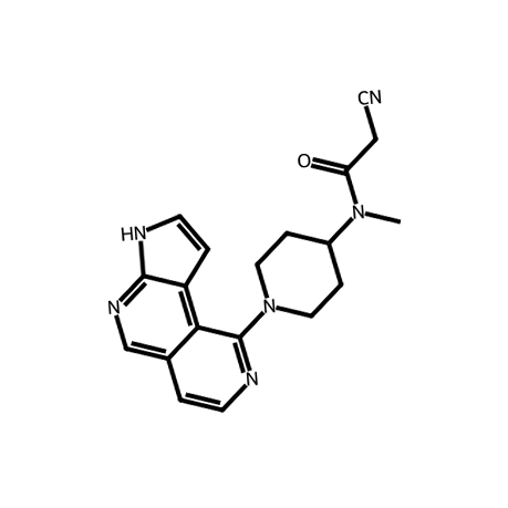 CN(C(=O)CC#N)C1CCN(c2nccc3cnc4[nH]ccc4c23)CC1